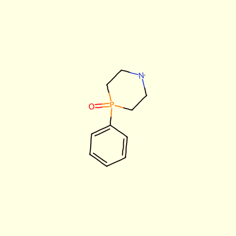 O=P1(c2ccccc2)CC[N]CC1